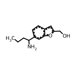 CCCC(N)c1ccc2cc(CO)oc2c1